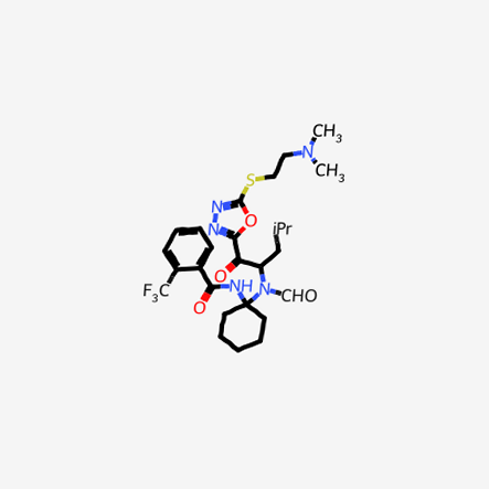 CC(C)CC(C(=O)c1nnc(SCCN(C)C)o1)N(C=O)C1(NC(=O)c2ccccc2C(F)(F)F)CCCCC1